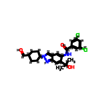 CC(C)(O)c1cc2nn(C3CCC(C=O)CC3)cc2cc1NC(=O)c1cc(Cl)cc(Cl)c1